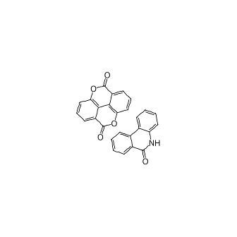 O=c1[nH]c2ccccc2c2ccccc12.O=c1oc2cccc3c(=O)oc4cccc1c4c23